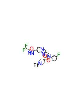 CCN1CCC(S(=O)(=O)N(Cc2cn3ccc(-c4nnc(C(F)F)o4)cc3n2)c2cccc(F)c2)CC1